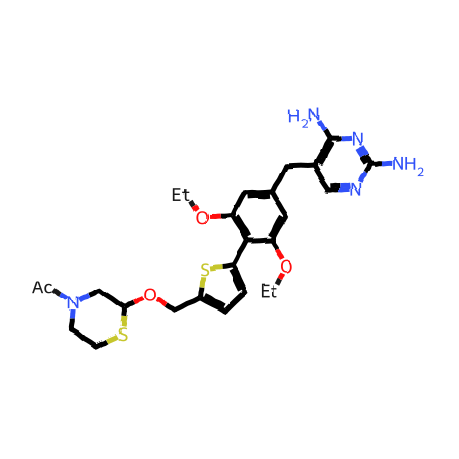 CCOc1cc(Cc2cnc(N)nc2N)cc(OCC)c1-c1ccc(COC2CN(C(C)=O)CCS2)s1